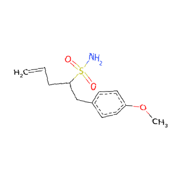 C=CCC(Cc1ccc(OC)cc1)S(N)(=O)=O